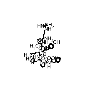 CCCC[C@H](NC(=O)[C@H](Cc1ccc(O)cc1)NC(=O)[C@@H](NC(=O)[C@@H](N)CCCNC(=N)N)C(C)C)C(=O)N[C@@H](Cc1c[nH]cn1)C(=O)N1CCC[C@H]1C(=O)N[C@@H](Cc1ccccc1)C(=O)O